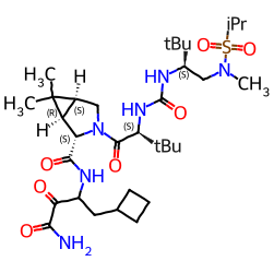 CC(C)S(=O)(=O)N(C)C[C@@H](NC(=O)N[C@H](C(=O)N1C[C@H]2[C@@H]([C@H]1C(=O)NC(CC1CCC1)C(=O)C(N)=O)C2(C)C)C(C)(C)C)C(C)(C)C